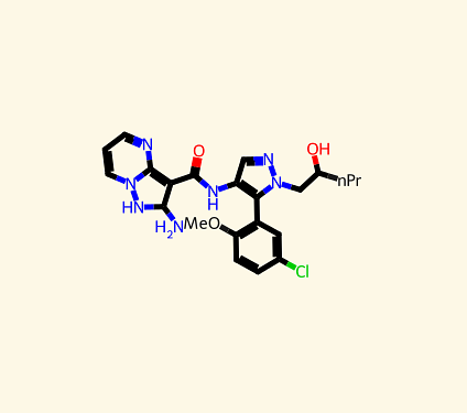 CCCC(O)Cn1ncc(NC(=O)C2=C3N=CC=CN3NC2N)c1-c1cc(Cl)ccc1OC